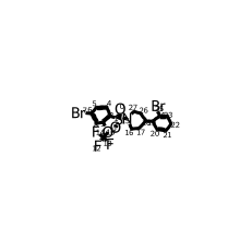 O=S(=O)(c1ccc(Br)cc1OC(F)(F)F)N1CCC(C2C=CCC=C2Br)CC1